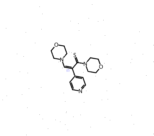 S=C(/C(=C\N1CCOCC1)c1ccncc1)N1CCOCC1